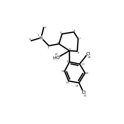 CN(C)CC1CCCCC1(O)c1ccc(Cl)cc1Cl